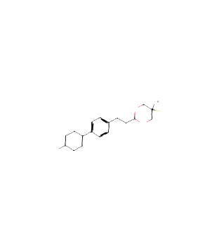 CCCC1CCC(c2ccc(CCC3OCC(F)(CCC)CO3)cc2)CC1